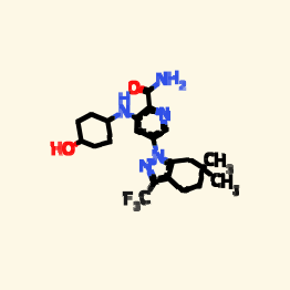 CC1(C)CCc2c(C(F)(F)F)nn(-c3cnc(C(N)=O)c(NC4CCC(O)CC4)c3)c2C1